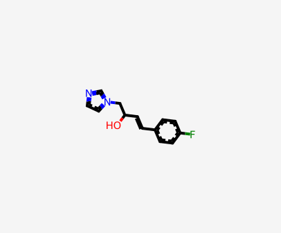 OC(/C=C/c1ccc(F)cc1)Cn1ccnc1